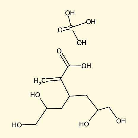 C=C(C(=O)O)C(CC(O)CO)CC(O)CO.O=P(O)(O)O